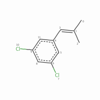 CC(C)=Cc1[c]c(Cl)cc(Cl)c1